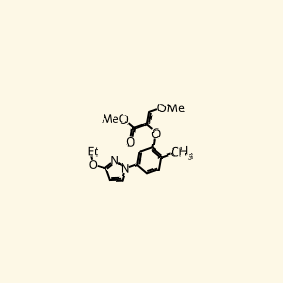 CCOc1ccn(-c2ccc(C)c(O/C(=C\OC)C(=O)OC)c2)n1